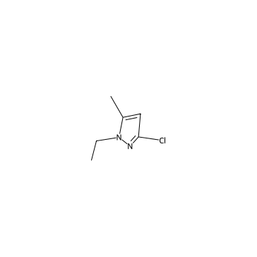 CCn1nc(Cl)cc1C